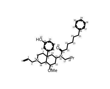 C=CCN1CCC2(c3cccc(O)c3)CC(N(CC(C)C)C(=O)CCCCCc3ccccc3)CC(OC)C2C1